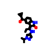 CC/C(Nc1cnn(C(C)C)c1)=C1/C(=O)Nc2ccc(C(=O)C3CC3)cc21